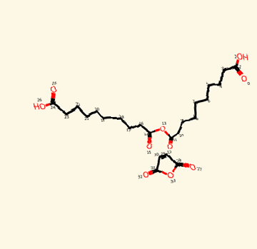 O=C(O)CCCCCCCCC(=O)OC(=O)CCCCCCCCC(=O)O.O=C1C=CC(=O)O1